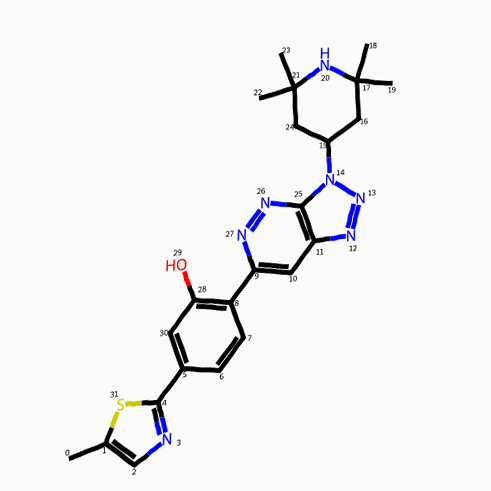 Cc1cnc(-c2ccc(-c3cc4nnn(C5CC(C)(C)NC(C)(C)C5)c4nn3)c(O)c2)s1